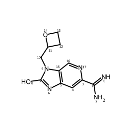 N=C(N)c1cc2nc(O)n(CC3CCO3)c2cn1